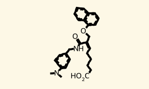 CN(C)c1ccc(CNC(=O)C(=CCCCCC(=O)O)COc2cccc3ccccc23)cc1